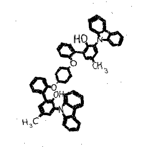 Cc1cc(-c2ccccc2O[C@H]2CC[C@@H](Oc3ccccc3-c3cc(C)cc(-n4c5ccccc5c5ccccc54)c3O)CC2)c(O)c(-n2c3ccccc3c3ccccc32)c1